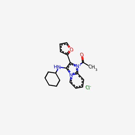 CC(=O)[n+]1c(-c2ccco2)c(NC2CCCCC2)n2ccccc21.[Cl-]